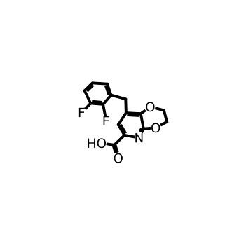 O=C(O)c1cc(Cc2cccc(F)c2F)c2c(n1)OCCO2